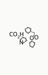 O=C(Cc1ccccc1)Oc1ccccc1.O=C(O)c1cccnc1